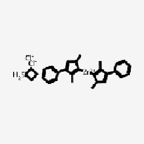 C1C[SiH2]C1.CC1=[C]([Zr+2][C]2=C(C)C(c3ccccc3)=CC2C)C(C)C=C1c1ccccc1.[Cl-].[Cl-]